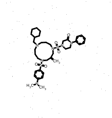 C=C1CN(S(=O)(=O)c2ccc(N(C)C)cc2)CCCN(CC2CCCCC2)CCCN(S(=O)(=O)N2CCN(c3ccccc3)C(=O)C2)C1